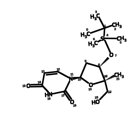 CC(C)(C)[Si](C)(C)O[C@H]1C[C@H](n2ccc(=O)[nH]c2=O)O[C@]1(C)CO